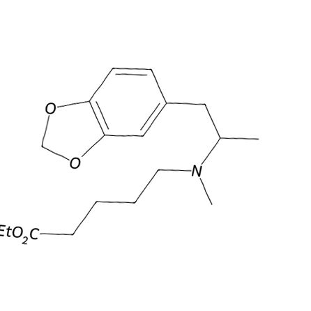 CCOC(=O)CCCCN(C)C(C)Cc1ccc2c(c1)OCO2